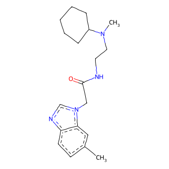 Cc1ccc2ncn(CC(=O)NCCN(C)C3CCCCC3)c2c1